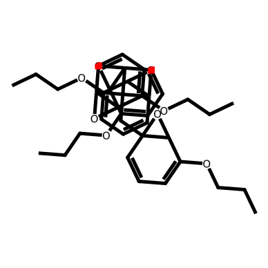 CCCOC1=CC=CC2(CC(C34C=CC=C(OCCC)C3O4)(C34C=CC=C(OCCC)C3O4)C34C=CC=C(OCCC)C3O4)OC12